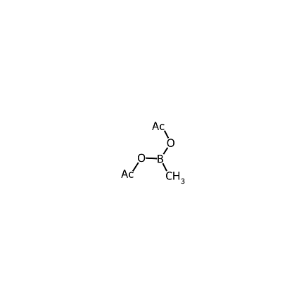 CB(OC(C)=O)OC(C)=O